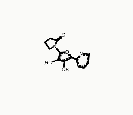 O=C1CCCN1c1oc(-c2ccccn2)c(O)c1O